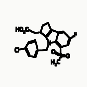 CS(=O)(=O)c1cc(F)cc2c3c(n(Cc4ccc(Cl)cc4)c12)C(CC(=O)O)CC3